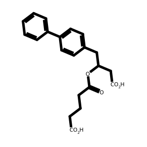 O=C(O)CCCC(=O)OC(CC(=O)O)Cc1ccc(-c2ccccc2)cc1